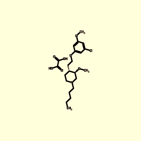 CCCCCN1CC[C@H](CCOc2cc(Cl)cc(OC)c2)[C@@H](OC)C1.O=C(O)C(=O)O